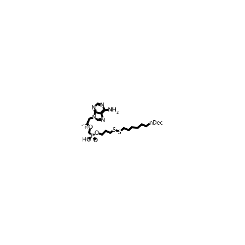 CCCCCCCCCCCCCCCCSSCCCOP(=O)(O)CO[C@H](C)Cn1cnc2c(N)ncnc21